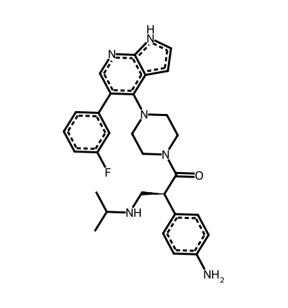 CC(C)NC[C@@H](C(=O)N1CCN(c2c(-c3cccc(F)c3)cnc3[nH]ccc23)CC1)c1ccc(N)cc1